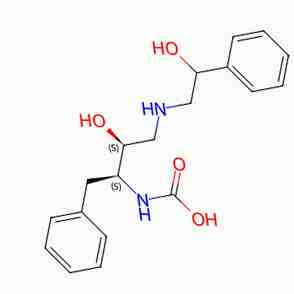 O=C(O)N[C@@H](Cc1ccccc1)[C@@H](O)CNCC(O)c1ccccc1